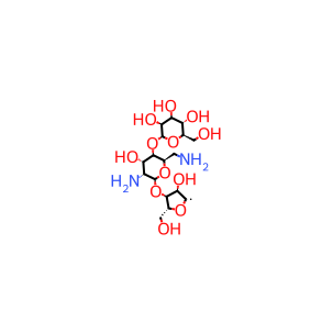 NC[C@H]1O[C@@H](O[C@H]2[C@@H](O)[CH]O[C@@H]2CO)[C@H](N)[C@H](O)[C@H]1O[C@@H]1O[C@H](CO)[C@@H](O)[C@H](O)[C@@H]1O